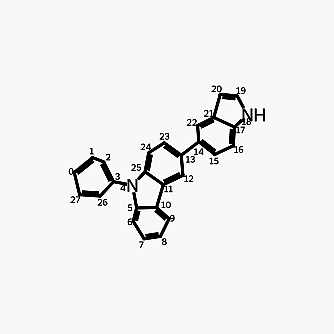 c1ccc(-n2c3ccccc3c3cc(-c4ccc5[nH]ccc5c4)ccc32)cc1